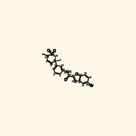 CN1C=NC(C)(c2cccc(NC(=O)c3nc4cc(Br)ccc4o3)c2)CS1(=O)=O